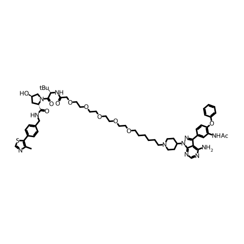 CC(=O)Nc1cc(-c2nn(C3CCN(CCCCCCOCCOCCOCCOCCOCC(=O)N[C@H](C(=O)N4C[C@H](O)C[C@H]4C(=O)NCc4ccc(-c5scnc5C)cc4)C(C)(C)C)CC3)c3ncnc(N)c23)ccc1Oc1ccccc1